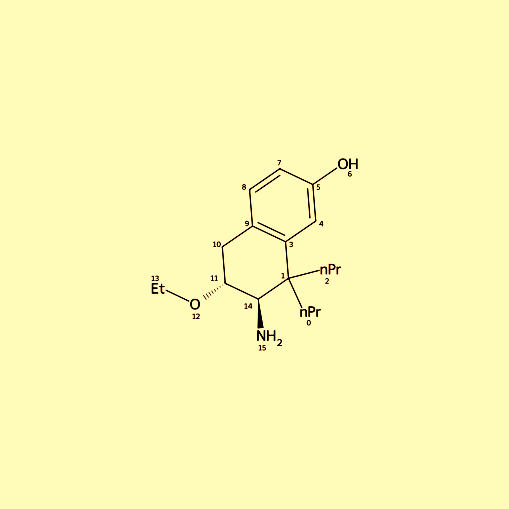 CCCC1(CCC)c2cc(O)ccc2C[C@@H](OCC)[C@@H]1N